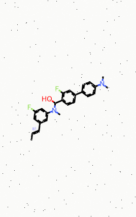 C/C=C/c1cc(F)cc(N(C)C(O)c2ccc(-c3ccc(N(C)C)cc3)cc2F)c1